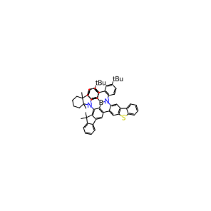 CC(C)(C)c1ccc(N2B3c4cc(C(C)(C)C)cc5c4N(c4c3c(cc3c4C(C)(C)c4ccccc4-3)-c3cc4sc6ccccc6c4cc32)C2(C)CCCCC52C)c(-c2ccccc2)c1